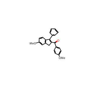 COc1ccc(C(=O)C2=C(c3ccccc3)c3ccc(OC)cc3C2)cc1